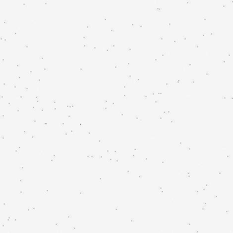 CCCCC(=O)OCCSSCCOC(=O)CCc1cc(OC)ccc1-c1ccc(-c2cccc(C)c2)c(C)c1